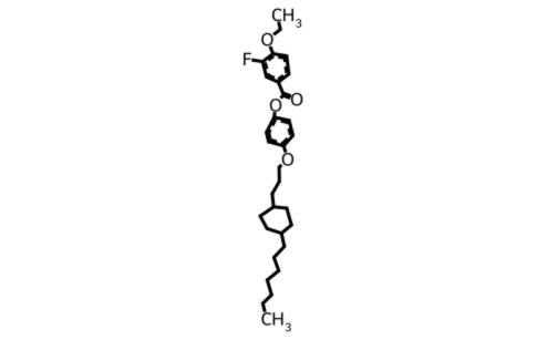 CCCCCCCC1CCC(CCCOc2ccc(OC(=O)c3ccc(OCC)c(F)c3)cc2)CC1